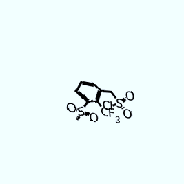 CS(=O)(=O)c1cccc(CS(=O)(=O)Cl)c1C(F)(F)F